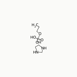 C1CNCN1.C=CCOP(=O)(O)O